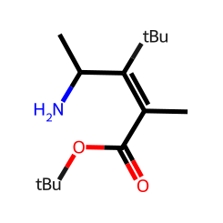 CC(C(=O)OC(C)(C)C)=C(C(C)N)C(C)(C)C